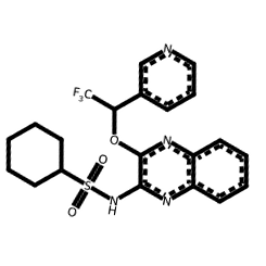 O=S(=O)(Nc1nc2ccccc2nc1OC(c1cccnc1)C(F)(F)F)C1CCCCC1